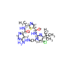 CNCc1c(N)ncnc1C(=O)NC(C)c1ncc(C(=O)Nc2ncc(Cl)c(C(C)(C)C)n2)s1